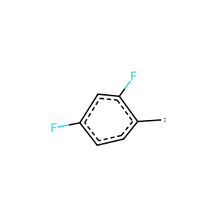 [CH]c1ccc(F)cc1F